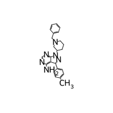 Cc1ccc(-c2nn(C3CCCN(Cc4ccccc4)C3)c3ncnc(N)c23)cc1